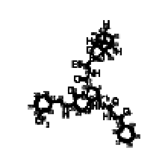 CC[C@H](NC(=O)[C@@H]1C[C@@](C)(NC(=O)NC(=O)c2ccccc2)c2ncc(NCc3cccc(C(F)(F)F)c3)c(=O)n21)B1O[C@@H]2C[C@@H]3C[C@@H](C3(C)C)[C@]2(C)O1